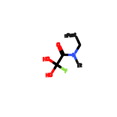 CCCCCCN(CC)C(=O)C(O)(O)F